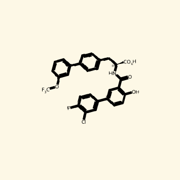 O=C(N[C@@H](Cc1ccc(-c2cccc(OC(F)(F)F)c2)cc1)C(=O)O)c1cc(-c2ccc(F)c(Cl)c2)ccc1O